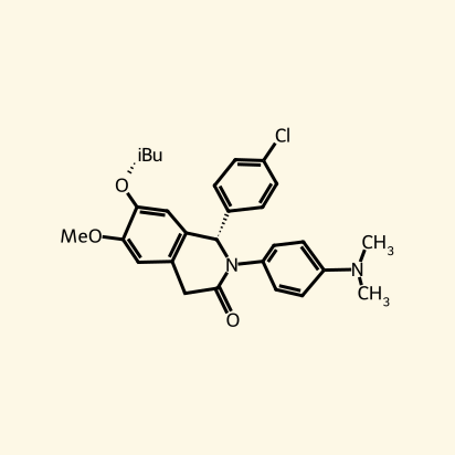 CC[C@@H](C)Oc1cc2c(cc1OC)CC(=O)N(c1ccc(N(C)C)cc1)[C@H]2c1ccc(Cl)cc1